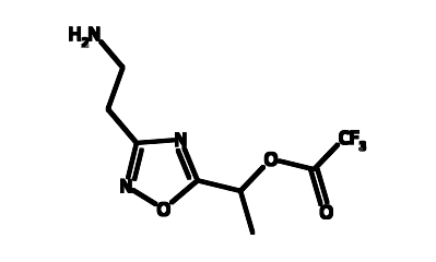 CC(OC(=O)C(F)(F)F)c1nc(CCN)no1